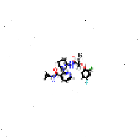 CC(C)(Oc1ccc(F)cc1Cl)C(=O)NC12CCCC(CC1)N2c1ncccc1C(=O)NC1CC1